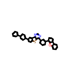 c1ccc(-c2ccc(-c3ccc4sc5c(-c6cccc(-c7cccc8c7oc7ccccc78)c6)ncnc5c4c3)cc2)cc1